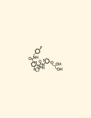 O=C(NCc1ccc(F)cc1)c1ccc2c(n1)N(C(=O)Nc1cc(OCC(O)CO)ccn1)[C@H]1CCN2C1